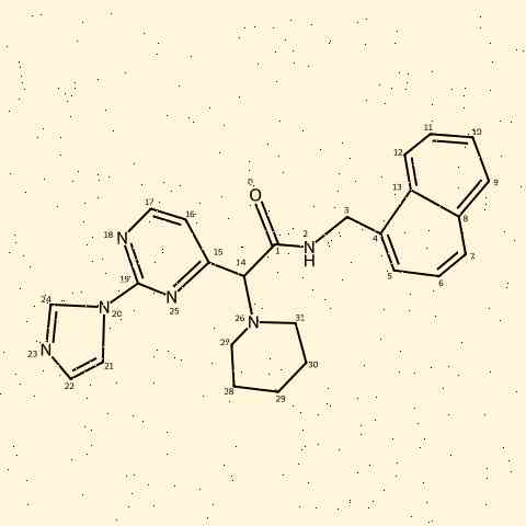 O=C(NCc1cccc2ccccc12)C(c1ccnc(-n2ccnc2)n1)N1CCCCC1